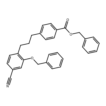 N#Cc1ccc(CCCc2ccc(C(=O)OCc3ccccc3)cc2)c(OCc2ccccc2)c1